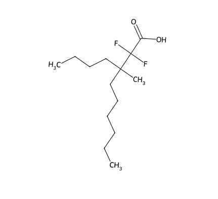 CCCCCCC(C)(CCCC)C(F)(F)C(=O)O